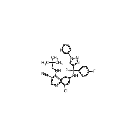 [2H][C@](Nc1cc(Cl)c2ncc(C#N)c(NCC(C)(C)C)c2c1)(c1ccc(F)cc1)c1cn(-c2cccnc2)nn1